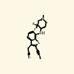 CC#Cc1sc2c(NC3CCN(C)CC3(F)F)cccc2c1CC#N